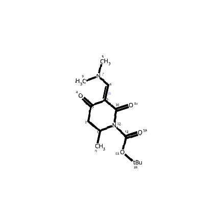 CC1CC(=O)/C(=C\N(C)C)C(=O)N1C(=O)OC(C)(C)C